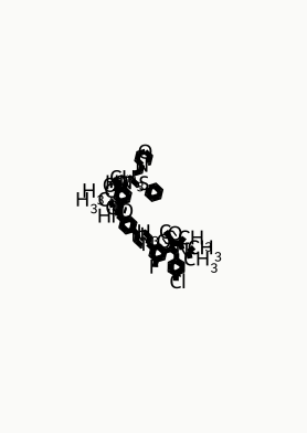 CCOP(=O)(Nc1ccc(N2CCN(c3cc(F)cc(-c4c(S(C)(=O)=O)c(C)n(C(C)C)c4-c4ccc(Cl)cc4)c3)CC2)cc1)C1=CC=C(N[C@H](CCN2CCOCC2)CSc2ccccc2)C(C)(S(C)(=O)=O)C1